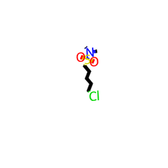 CN(C)S(=O)(=O)CCCCCCl